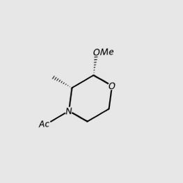 CO[C@@H]1OCCN(C(C)=O)[C@@H]1C